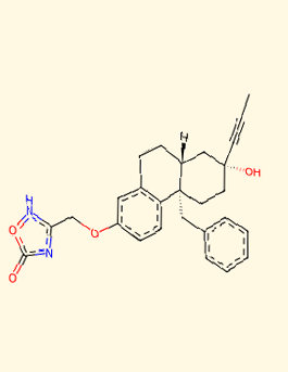 CC#C[C@@]1(O)CC[C@@]2(Cc3ccccc3)c3ccc(OCc4nc(=O)o[nH]4)cc3CC[C@@H]2C1